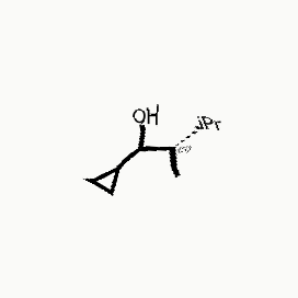 CC(C)[C@H](C)C(O)C1CC1